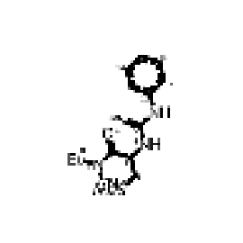 CCN(C#N)C(=O)C(CSC)NC(=S)Nc1ccccc1